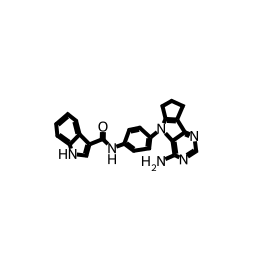 Nc1ncnc2c3c(n(-c4ccc(NC(=O)c5c[nH]c6ccccc56)cc4)c12)CCC3